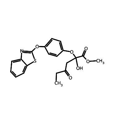 CCC(=O)CC(O)(Oc1ccc(Oc2nc3ccccc3s2)cc1)C(=O)OC